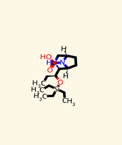 CC[C@H](O[Si](CC)(CC)CC)[C@H]1NC[C@H]2CC[C@@H]1N2C(=O)O